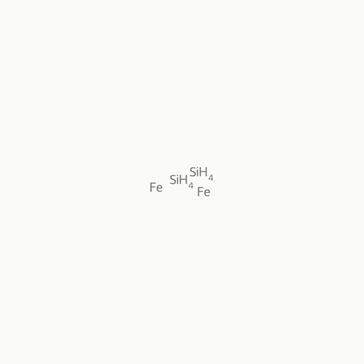 [Fe].[Fe].[SiH4].[SiH4]